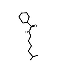 CC(C)CCCCNC(=O)C1CCCCC1